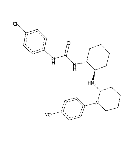 N#Cc1ccc(N2CCCC[C@H]2N[C@@H]2CCCC[C@H]2NC(=O)Nc2ccc(Cl)cc2)cc1